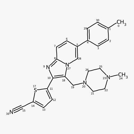 Cc1ccc(-c2ccc3nc(-c4ccc(C#N)s4)c(CN4CCN(C)CC4)n3c2)cc1